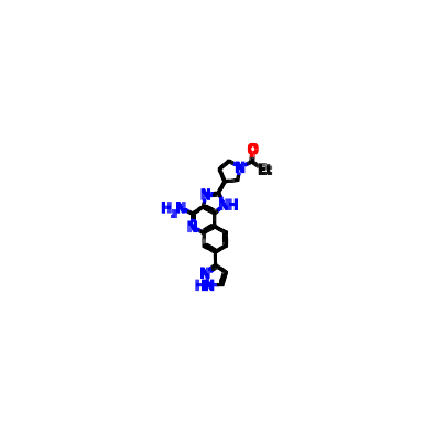 CCC(=O)N1CCC(c2nc3c(N)nc4cc(-c5cc[nH]n5)ccc4c3[nH]2)C1